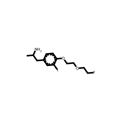 CC(N)Cc1ccc(OCCOCCF)c(I)c1